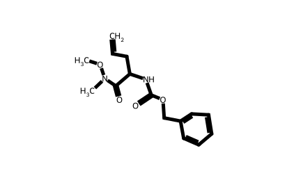 C=CCC(NC(=O)OCc1ccccc1)C(=O)N(C)OC